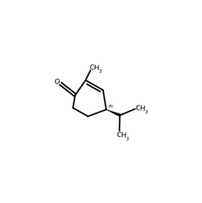 CC1=C[C@@H](C(C)C)CCC1=O